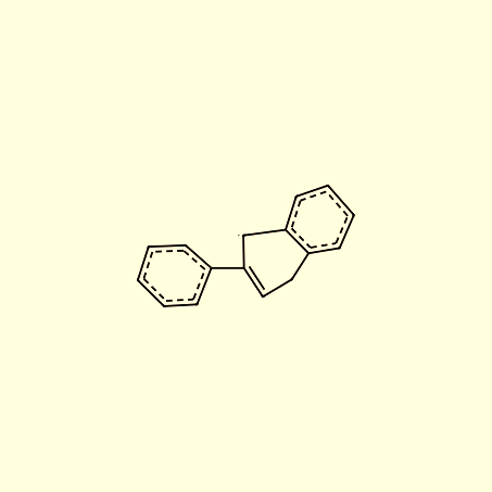 [CH]1C(c2ccccc2)=CCc2ccccc21